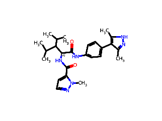 Cc1n[nH]c(C)c1-c1ccc(NC(=O)[C@@H](NC(=O)c2ccnn2C)C(C(C)C)C(C)C)cc1